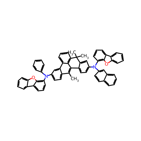 Cc1c2c3c(cccc3c3cc(N(c4ccccc4)c4cccc5c4oc4ccccc45)ccc13)C(C)(C)c1cc(N(c3ccc4ccccc4c3)c3cccc4c3oc3ccccc34)ccc1-2